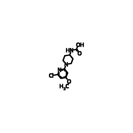 COc1cc(Cl)nc(N2CCC(NC(=O)O)CC2)c1